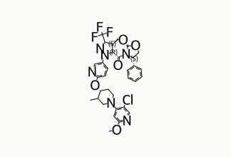 COc1cc(N2CCC(Oc3ccc(N4N=C(C(F)(F)F)[C@@H](C)[C@@H]4C(=O)N4C(=O)OC[C@@H]4c4ccccc4)cn3)C(C)C2)c(Cl)cn1